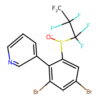 [O-][S+](c1cc(Br)[c]c(Br)c1-c1cccnc1)C(F)(F)C(F)(F)C(F)(F)F